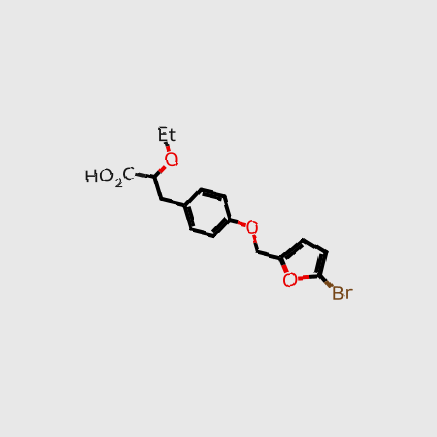 CCOC(Cc1ccc(OCc2ccc(Br)o2)cc1)C(=O)O